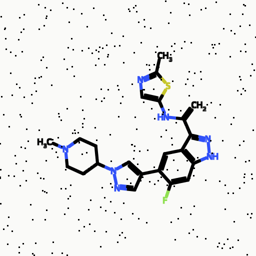 C=C(Nc1cnc(C)s1)c1n[nH]c2cc(F)c(-c3cnn(C4CCN(C)CC4)c3)cc12